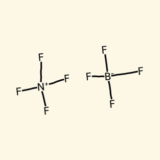 F[B-](F)(F)F.F[N+](F)(F)F